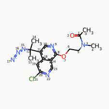 CC(=O)N(C)CCOc1ncc(C(C)(C)N=[N+]=[N-])c2cc(Cl)ncc12